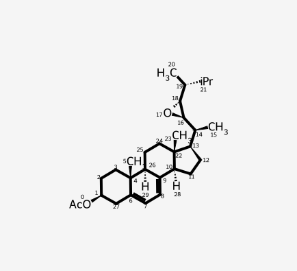 CC(=O)O[C@H]1CC[C@@]2(C)C(=CC=C3[C@@H]4CC[C@H]([C@H](C)[C@H]5O[C@@H]5[C@H](C)C(C)C)[C@@]4(C)CC[C@@H]32)C1